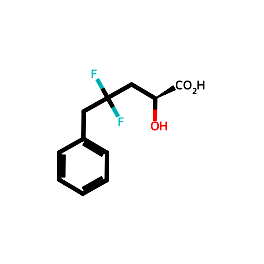 O=C(O)[C@@H](O)CC(F)(F)Cc1ccccc1